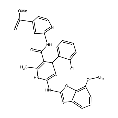 COC(=O)c1ccnc(NC(=O)C2=C(C)NC(Nc3nc4cccc(OC(F)(F)F)c4o3)=NC2c2ccccc2Cl)c1